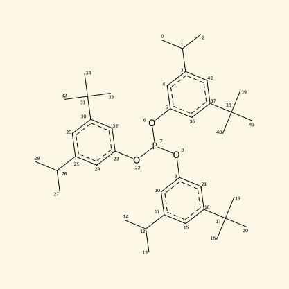 CC(C)c1cc(OP(Oc2cc(C(C)C)cc(C(C)(C)C)c2)Oc2cc(C(C)C)cc(C(C)(C)C)c2)cc(C(C)(C)C)c1